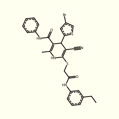 CCc1cccc(NC(=O)CSC2=C(C#N)C(c3cc(Br)cs3)C(C(=O)Nc3ccccc3)=C(C)N2)c1